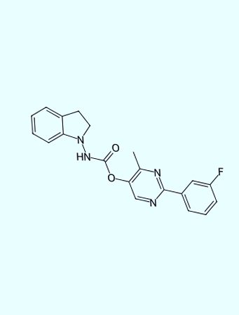 Cc1nc(-c2cccc(F)c2)ncc1OC(=O)NN1CCc2ccccc21